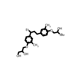 CCC(CCc1ccc(OCC(O)C(C)(C)C)c(C)c1)c1ccc(OCC(O)CO)c(C)c1